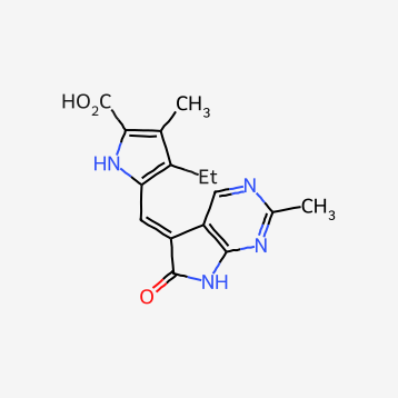 CCc1c(C=C2C(=O)Nc3nc(C)ncc32)[nH]c(C(=O)O)c1C